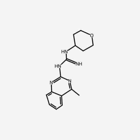 Cc1nc(NC(=N)NC2CCOCC2)nc2ccccc12